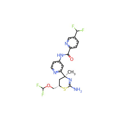 C[C@@]1(c2cc(NC(=O)c3ccc(C(F)F)cn3)ccn2)C[C@@H](COC(F)F)SC(N)=N1